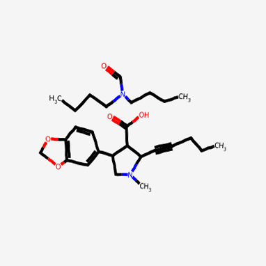 CCCC#CC1C(C(=O)O)C(c2ccc3c(c2)OCO3)CN1C.CCCCN(C=O)CCCC